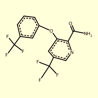 NC(=O)c1ncc(C(F)(F)F)cc1Oc1cccc(C(F)(F)F)c1